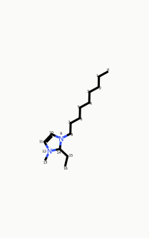 CCCCCCCCCN1C=CN(C)C1CC